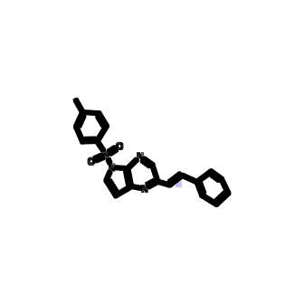 Cc1ccc(S(=O)(=O)n2ccc3nc(/C=C/c4ccccc4)cnc32)cc1